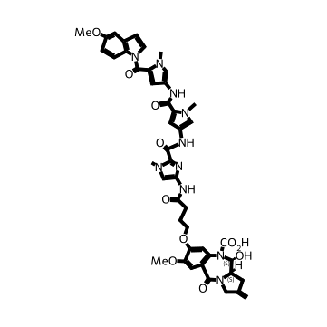 C=C1C[C@H]2[C@H](O)N(C(=O)O)c3cc(OCCCC(=O)Nc4cn(C)c(C(=O)Nc5cc(C(=O)Nc6cc(C(=O)n7ccc8cc(OC)ccc87)n(C)c6)n(C)c5)n4)c(OC)cc3C(=O)N2C1